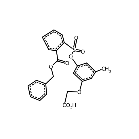 Cc1cc(OCC(=O)O)cc(OS(=O)(=O)c2ccccc2C(=O)OCc2ccccc2)c1